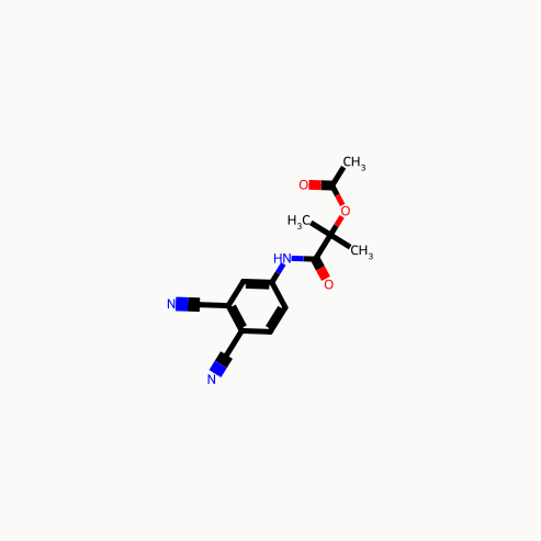 CC(=O)OC(C)(C)C(=O)Nc1ccc(C#N)c(C#N)c1